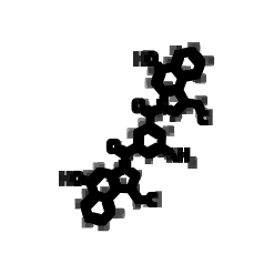 Nc1cc(C(=O)N2CC(CCl)c3c2cc(O)c2ccccc32)cc(C(=O)N2CC(CCl)c3c2cc(O)c2ccccc32)c1